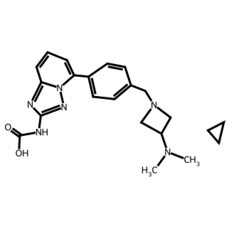 C1CC1.CN(C)C1CN(Cc2ccc(-c3cccc4nc(NC(=O)O)nn34)cc2)C1